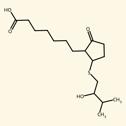 CC(C)C(O)CSC1CCC(=O)C1CCCCCCC(=O)O